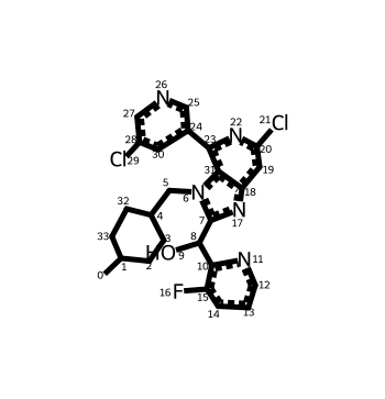 CC1CCC(Cn2c(C(O)c3ncccc3F)nc3cc(Cl)nc(-c4cncc(Cl)c4)c32)CC1